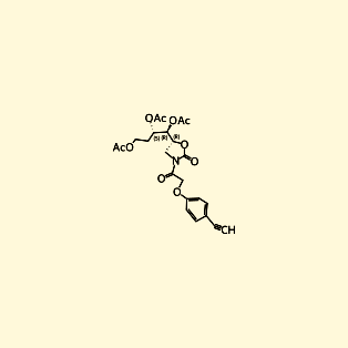 C#Cc1ccc(OCC(=O)N2C[C@H]([C@H](OC(C)=O)[C@H](CCOC(C)=O)OC(C)=O)OC2=O)cc1